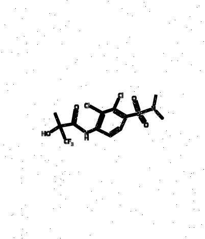 CN(C)S(=O)(=O)c1ccc(NC(=O)C(C)(O)C(F)(F)F)c(Cl)c1Cl